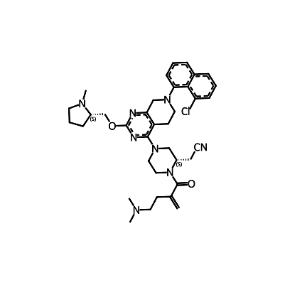 C=C(CCN(C)C)C(=O)N1CCN(c2nc(OC[C@@H]3CCCN3C)nc3c2CCN(c2cccc4cccc(Cl)c24)C3)C[C@@H]1CC#N